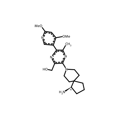 COc1cc(OC)c(-c2nc(CO)c(N3CCC4(CCC[C@H]4N)CC3)nc2C)cn1